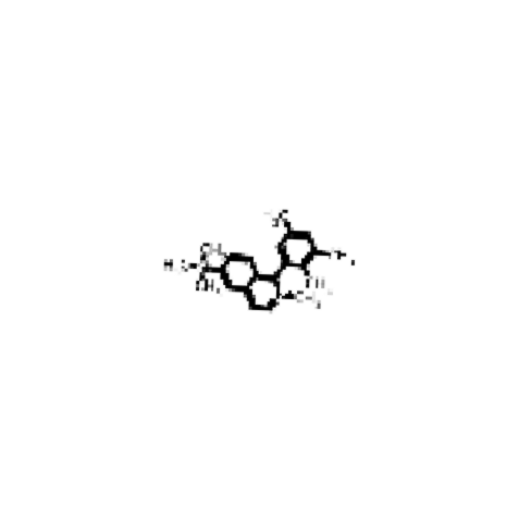 Cc1cc(C)c(C)c(-c2c3ccc([Si](C)(C)C)cc3cc[n+]2C)c1